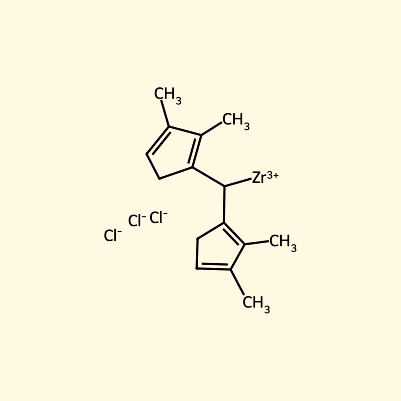 CC1=CCC([CH]([Zr+3])C2=C(C)C(C)=CC2)=C1C.[Cl-].[Cl-].[Cl-]